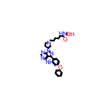 Nc1ncnc2c1c(-c1ccc(Oc3ccccc3)cc1)nn2C1CCN(CCCCCC(=O)NO)C1